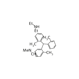 CCNCC.CNC.Cc1ccccc1C(c1ccccc1C)c1ccccc1C